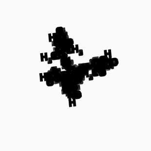 COc1ccc2c(c1CCN1CCN(c3ccc(-c4cc(-c5cc6c([nH]5)C5(CNC6=O)CC5c5cc(-c6cc7c([nH]6)C6(CC6)CNC7=O)c(F)c(-c6ccc(N7CCN(CCc8cccc9c8n(C)c(=O)n9C8CCC(=O)NC8=O)CC7)cc6)n5)ccn4)cc3)CC1)n(C)c(=O)n2C1CCC(=O)NC1=O